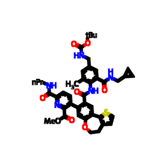 CCCNC(=O)c1ccc(-c2cc3c(cc2C(=O)Nc2c(C)cc(CNC(=O)OC(C)(C)C)cc2C(=O)NCC2CC2)-c2sccc2CCO3)c(C(=O)OC)n1